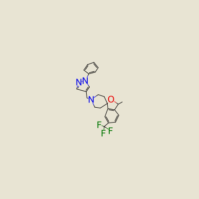 CC1OC2(CCN(Cc3cnn(-c4ccccc4)c3)CC2)c2cc(C(F)(F)F)ccc21